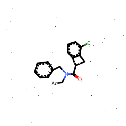 CC(=O)CN(Cc1ccccc1)C(=O)C1Cc2c(Cl)cccc21